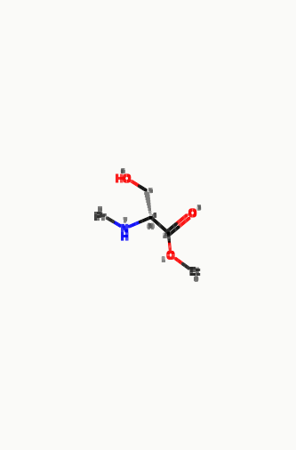 CCOC(=O)[C@@H](CO)NC(C)C